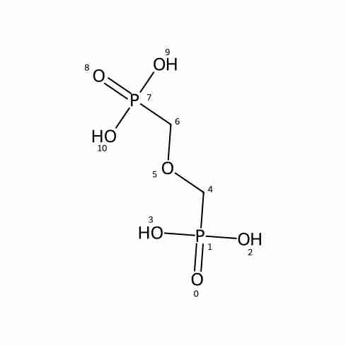 O=P(O)(O)COCP(=O)(O)O